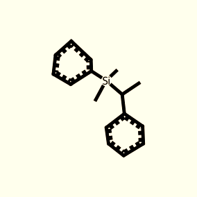 CC(c1ccccc1)[Si](C)(C)c1ccccc1